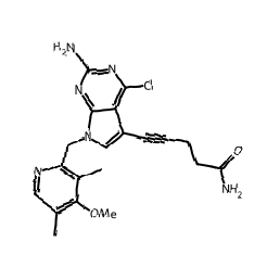 COc1c(C)cnc(Cn2cc(C#CCCC(N)=O)c3c(Cl)nc(N)nc32)c1C